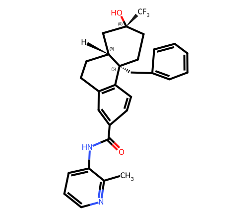 Cc1ncccc1NC(=O)c1ccc2c(c1)CC[C@@H]1C[C@@](O)(C(F)(F)F)CC[C@@]21Cc1ccccc1